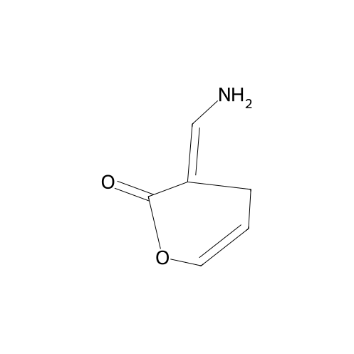 NC=C1CC=COC1=O